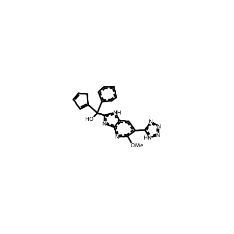 COc1nc2nc(C(O)(C3=CC=CC3)c3ccccc3)[nH]c2cc1-c1nnn[nH]1